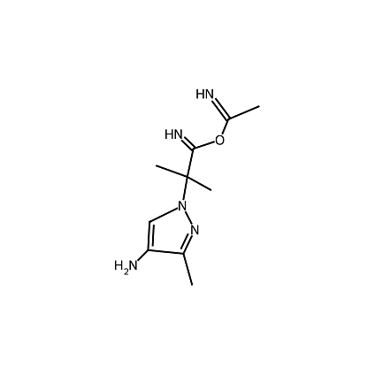 CC(=N)OC(=N)C(C)(C)n1cc(N)c(C)n1